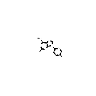 NNc1nc(Cl)nc2c1ncn2-c1ccc(F)cn1